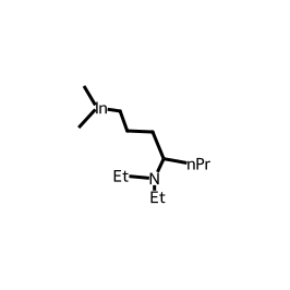 CCCC(CC[CH2][In]([CH3])[CH3])N(CC)CC